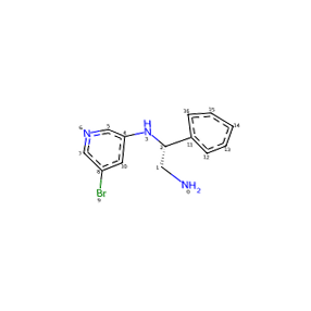 NC[C@H](Nc1cncc(Br)c1)c1ccccc1